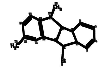 CCC1C2C=CC=CC2C2C1c1cc(C)ccc1N2C